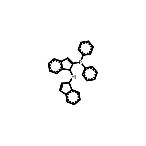 C1=C[CH]([Hf][CH]2C(P(c3ccccc3)c3ccccc3)=Cc3ccccc32)c2ccccc21